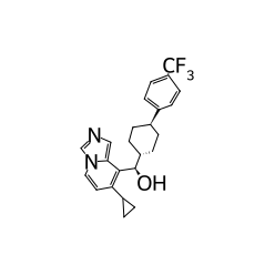 O[C@@H](c1c(C2CC2)ccn2cncc12)[C@H]1CC[C@H](c2ccc(C(F)(F)F)cc2)CC1